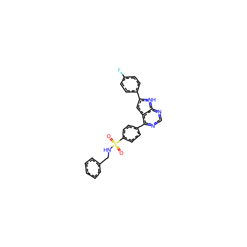 O=S(=O)(NCc1ccccc1)c1ccc(-c2ncnc3[nH]c(-c4ccc(F)cc4)cc23)cc1